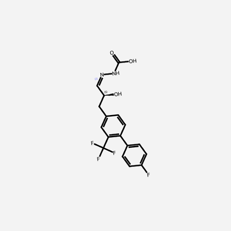 O=C(O)N/N=C\[C@@H](O)Cc1ccc(-c2ccc(F)cc2)c(C(F)(F)F)c1